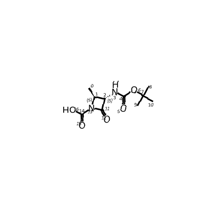 C[C@H]1[C@H](NC(=O)OC(C)(C)C)C(=O)N1C(=O)O